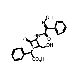 O=C(NC1C(=O)N(C(C(=O)O)c2ccccc2)C1CO)C(=NO)c1ccccc1